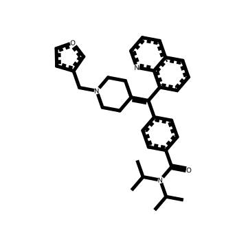 CC(C)N(C(=O)c1ccc(C(=C2CCN(Cc3ccoc3)CC2)c2cccc3cccnc23)cc1)C(C)C